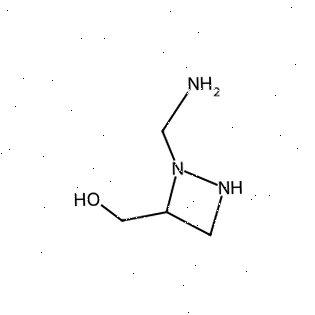 NCN1NCC1CO